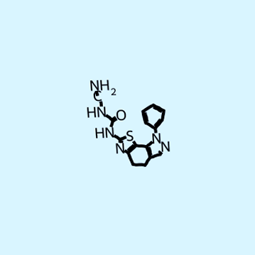 NCCNC(=O)Nc1nc2c(s1)-c1c(cnn1-c1ccccc1)CC2